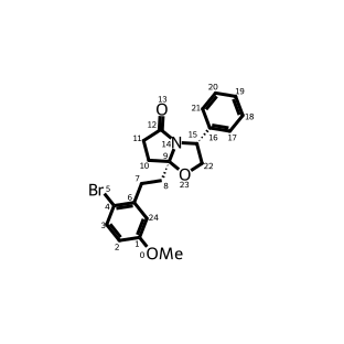 COc1ccc(Br)c(CC[C@]23CCC(=O)N2[C@H](c2ccccc2)CO3)c1